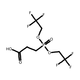 O=C(O)CCP(=O)(OCC(F)(F)F)OCC(F)(F)F